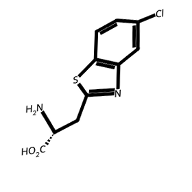 N[C@H](Cc1nc2cc(Cl)ccc2s1)C(=O)O